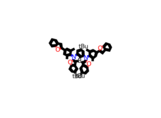 Cc1cc(-c2cc3ccccc3o2)cc(C)c1N1c2cc(C(C)(C)C)cc3c2B(c2c1oc1ccc(C(C)(C)C)cc21)c1c(oc2ccc(C(C)(C)C)cc12)N3c1c(C)cc(-c2cc3ccccc3o2)cc1C